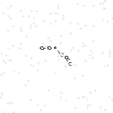 CN(C)c1ccc(-c2nc3ccc(O[C@H]4C[C@H](OCCCN5CCN(c6ccc7c(c6)C(=O)N(C6CCC(=O)NC6=O)C7=O)CC5)C4)cc3s2)cc1